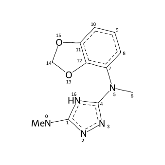 CNc1nnc(N(C)c2cccc3c2OCO3)[nH]1